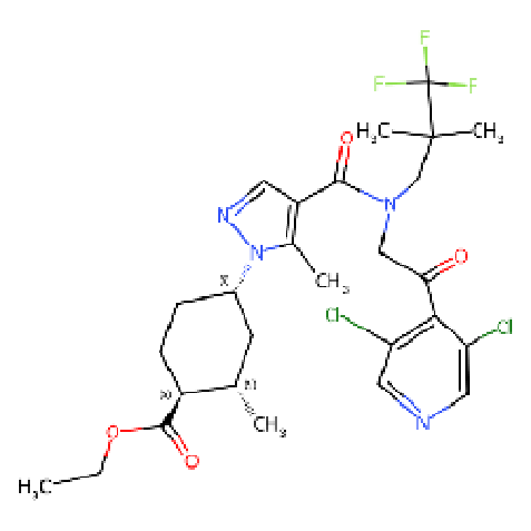 CCOC(=O)[C@H]1CC[C@H](n2ncc(C(=O)N(CC(=O)c3c(Cl)cncc3Cl)CC(C)(C)C(F)(F)F)c2C)C[C@@H]1C